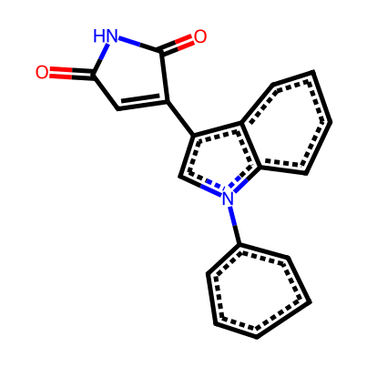 O=C1C=C(c2cn(-c3ccccc3)c3ccccc23)C(=O)N1